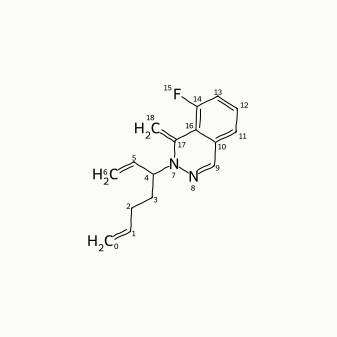 C=CCCC(C=C)N1N=Cc2cccc(F)c2C1=C